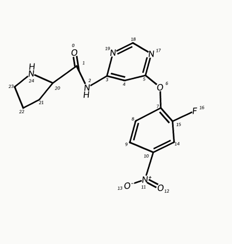 O=C(Nc1cc(Oc2ccc([N+](=O)[O-])cc2F)ncn1)C1CCCN1